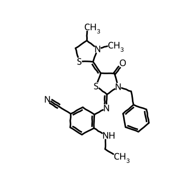 CCNc1ccc(C#N)cc1N=C1SC(=C2SCC(C)N2C)C(=O)N1Cc1ccccc1